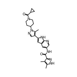 Cc1[nH]nc(C(=O)Nc2cnc3[nH]c(-c4cnn(C5CCN(C(=O)C6CC6)CC5)c4C)cc3c2)c1C